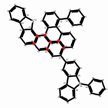 c1ccc(-c2ccccc2-c2c(-c3ccccc3)cccc2N(c2ccc(-c3ccc4c(c3)c3ccccc3n4-c3ccccc3)cc2)c2cccc3c2sc2ccccc23)cc1